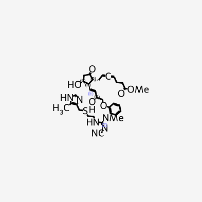 CN/C(=N/C#N)NCCSCc1nc[nH]c1C.COC(=O)CCC=C=CC[C@H]1C(=O)C[C@@H](O)[C@@H]1/C=C/[C@@H](O)COc1ccccc1